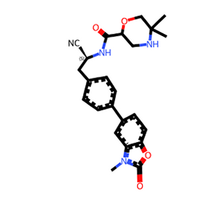 Cn1c(=O)oc2ccc(-c3ccc(C[C@@H](C#N)NC(=O)C4CNC(C)(C)CO4)cc3)cc21